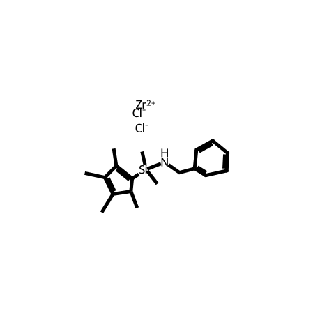 CC1=C(C)C(C)C([Si](C)(C)NCc2ccccc2)=C1C.[Cl-].[Cl-].[Zr+2]